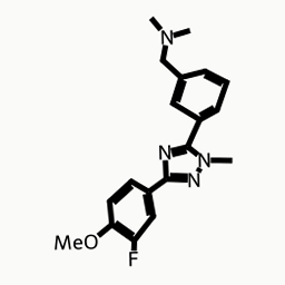 COc1ccc(-c2nc(-c3cccc(CN(C)C)c3)n(C)n2)cc1F